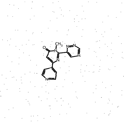 Cn1c(-c2cncnn2)nc(-c2ccncc2)cc1=O